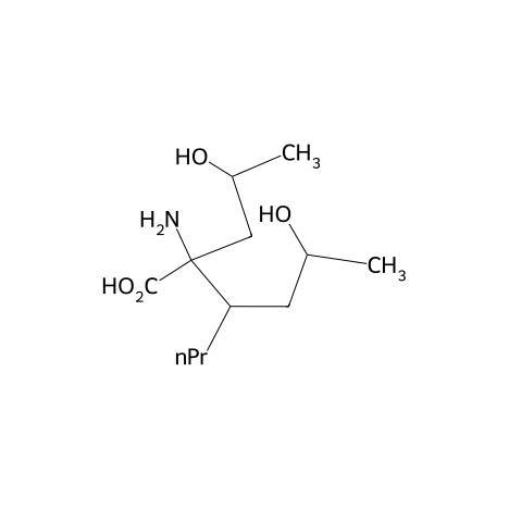 CCCC(CC(C)O)C(N)(CC(C)O)C(=O)O